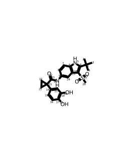 CC(C)(C)c1[nH]c2ccc(NC(=O)C3(c4ccc(O)c(O)c4)CC3)cc2c1S(C)(=O)=O